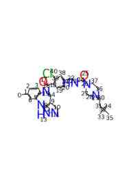 Cc1ccc2c(c1)Nc1c(cnn1C)CN2C(=O)c1ccc(CNC(=O)N2CCN(CCC(C)(C)C)CC2)cc1Cl